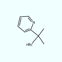 CCCCC(C)(C)c1ccccn1